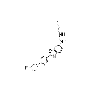 CCCCNCN(C)c1ccc2nc(-c3ccc(N4CCC(F)C4)nc3)sc2c1